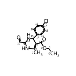 CCOC(=O)C1=C(C)NC(C=O)NC1c1ccc(Cl)cc1